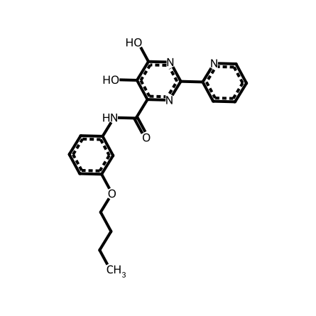 CCCCOc1cccc(NC(=O)c2nc(-c3ccccn3)nc(O)c2O)c1